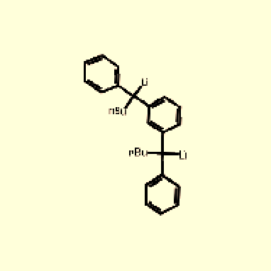 [Li][C](CCCC)(c1ccccc1)c1cccc([C]([Li])(CCCC)c2ccccc2)c1